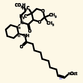 CCCCCCCC/C=C\CCCCCCCC(=O)N[C@H]1CCCC[C@@H]1N(CCC(=O)O)C(=O)C1OC(C)(C)OCC1(C)C